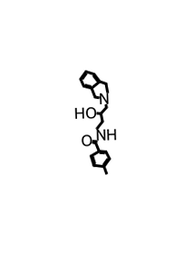 Cc1ccc(C(=O)NCCC(O)CN2CCc3ccccc3C2)cc1